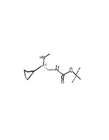 CN[C@H](CNC(=O)OC(C)(C)C)C1CC1